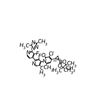 Cc1nc(C)n(-c2nccc(-c3ncc(C)c(-n4c(C)cc([C@H]5C[C@@H]5B5OC(C)(C)C(C)(C)O5)c(Cl)c4=O)c3F)c2F)n1